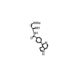 CN/C=C\C(=N)CNC(=O)c1ccc(-c2nccc3[nH]ccc23)cc1